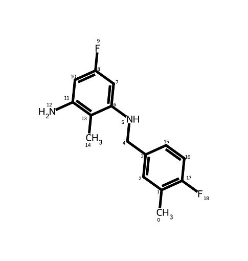 Cc1cc(CNc2cc(F)cc(N)c2C)ccc1F